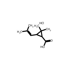 CC(C)=CC1C(C(=O)O)C1(C)C.Cl